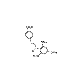 COc1cc(OC)c(C(=O)C=Cc2ccc(C(=O)O)cc2)c(OC)c1